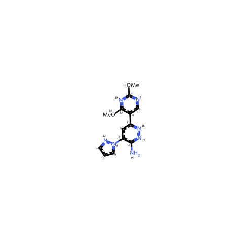 COc1ncc(-c2cc(-n3cccn3)c(N)nn2)c(OC)n1